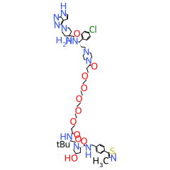 Cc1ncsc1-c1ccc(CNC(=O)[C@@H]2C[C@@H](O)CN2C(=O)[C@@H](NC(=O)CCOCCOCCOCCOCCOCCC(=O)N2CCN(CC[C@H](NC(=O)C3(N)CCN(c4ncnc5[nH]ccc45)CC3)c3ccc(Cl)cc3)CC2)C(C)(C)C)cc1